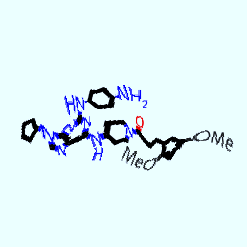 COc1ccc(OC)c(CCC(=O)N2CCC(Nc3nc(N[C@H]4CC[C@H](N)CC4)nc4c3ncn4C3CCCC3)CC2)c1